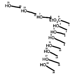 CCOC(C)=O.CO.CO.CO.CO.CO.CO.CO.CO.CO.CO